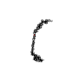 Cc1nn(C)cc1S(=O)(=O)NC(=O)c1ccc(-n2ccc(OCCOCCOCCOCCOCCOCCOc3ccc(C4CCN(S(=O)(=O)c5ccc(C(=O)NCC(=O)OC(C)(C)C)cc5)CC4)cc3)n2)nc1N1C[C@@H](C)CC1(C)C